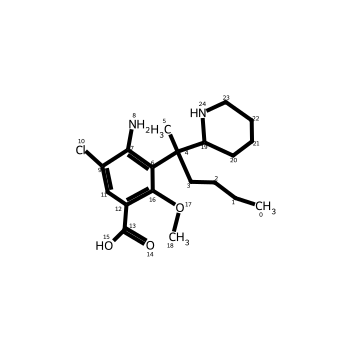 CCCCC(C)(c1c(N)c(Cl)cc(C(=O)O)c1OC)C1CCCCN1